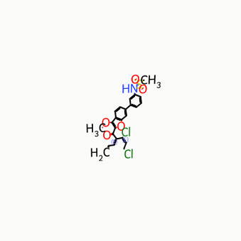 C=C/C=C(C(=O)c1oc2cc(-c3cccc(NS(C)(=O)=O)c3)ccc2c1OC)/C(Cl)=C\CCl